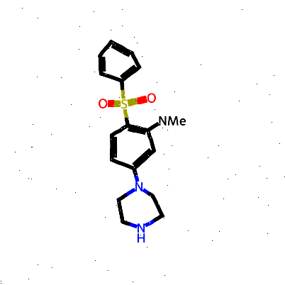 CNc1cc(N2CCNCC2)ccc1S(=O)(=O)c1ccccc1